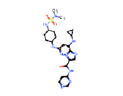 CN(C)S(=O)(=O)NC1CCC(Nc2cc(NC3CC3)c3ncc(C(=O)Nc4ccncn4)n3n2)CC1